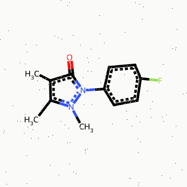 Cc1c(C)n(C)n(-c2ccc(F)cc2)c1=O